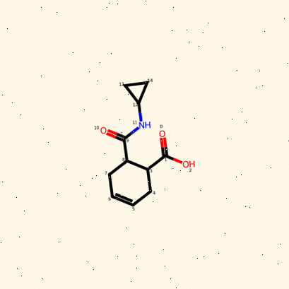 O=C(O)C1CC=CCC1C(=O)NC1CC1